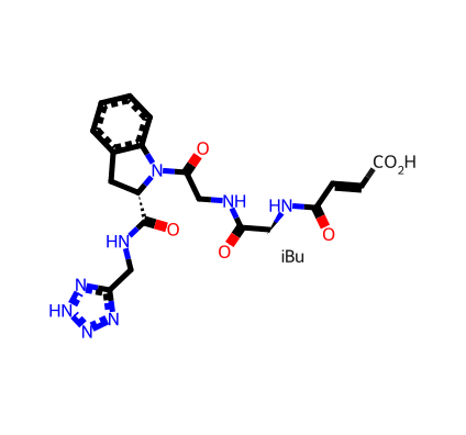 CC[C@H](C)[C@H](NC(=O)C=CC(=O)O)C(=O)NCC(=O)N1c2ccccc2C[C@H]1C(=O)NCc1nn[nH]n1